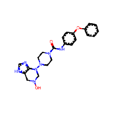 O=C(Nc1ccc(Oc2ccccc2)cc1)N1CCN(N2CN(O)Cc3[nH]cnc32)CC1